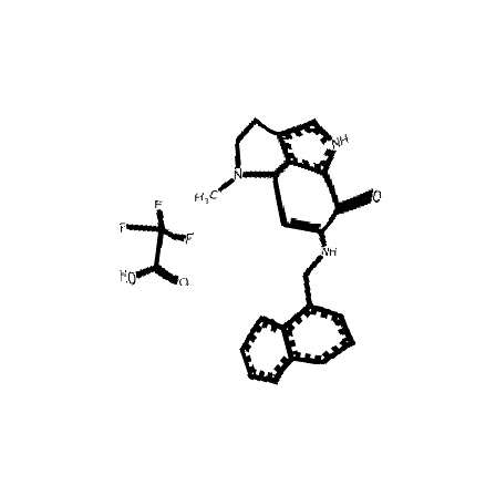 CN1CCc2c[nH]c3c2C1C=C(NCc1cccc2ccccc12)C3=O.O=C(O)C(F)(F)F